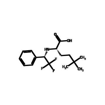 CC(C)(C)CC[C@H](N[C@@H](c1ccccc1)C(F)(F)F)C(=O)O